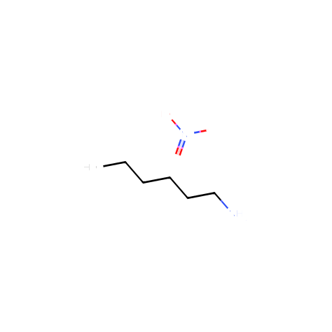 CCCCCCN.O=[N+]([O-])O